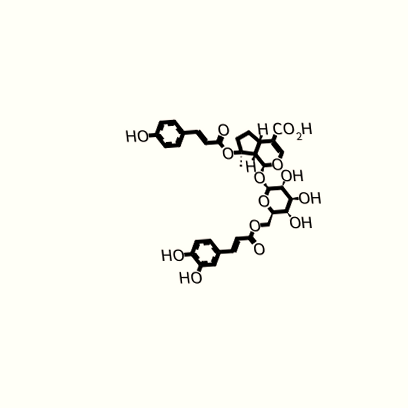 C[C@]1(OC(=O)/C=C/c2ccc(O)cc2)CC[C@@H]2C(C(=O)O)=CO[C@@H](O[C@@H]3O[C@H](COC(=O)/C=C/c4ccc(O)c(O)c4)[C@@H](O)[C@H](O)[C@H]3O)[C@@H]21